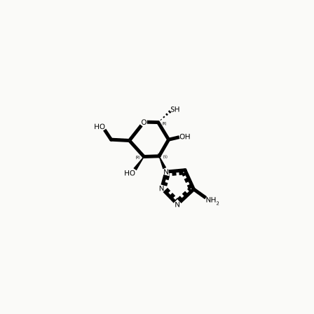 Nc1cn([C@@H]2C(O)[C@@H](S)OC(CO)[C@@H]2O)nn1